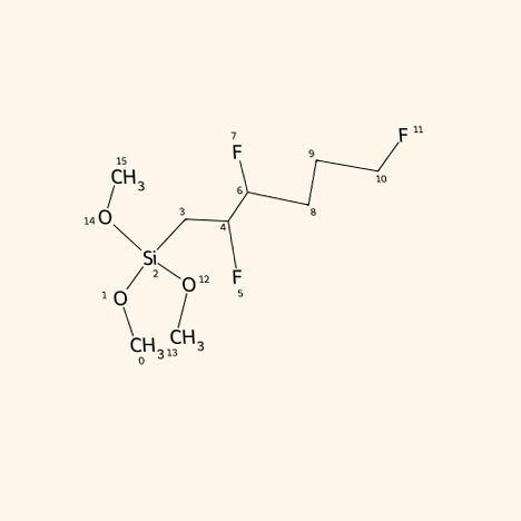 CO[Si](CC(F)C(F)CCCF)(OC)OC